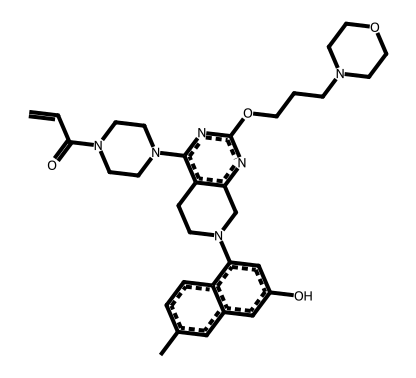 C=CC(=O)N1CCN(c2nc(OCCCN3CCOCC3)nc3c2CCN(c2cc(O)cc4cc(C)ccc24)C3)CC1